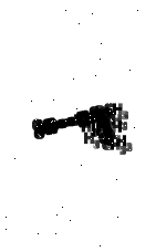 COC(=O)[C@@H](NC(=O)N1CCN(C#CC#Cc2ccc([N+](=O)[O-])cc2)CC1)C(C)(C)NC(=O)OC(C)(C)C